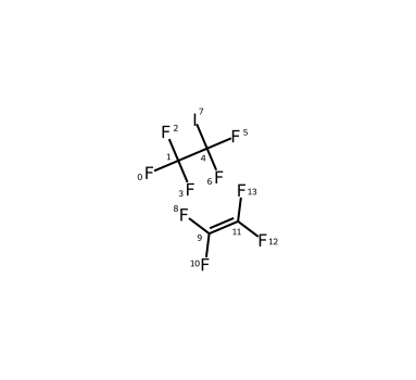 FC(F)(F)C(F)(F)I.FC(F)=C(F)F